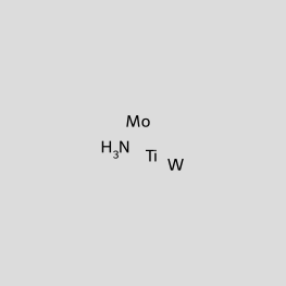 N.[Mo].[Ti].[W]